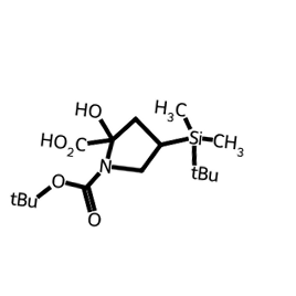 CC(C)(C)OC(=O)N1CC([Si](C)(C)C(C)(C)C)CC1(O)C(=O)O